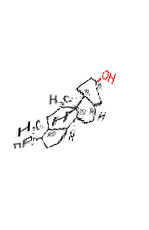 CCCC1CCC2[C@@H]3CC[C@@H]4C[C@H](O)CC[C@]4(C)[C@H]3CC[C@]12C